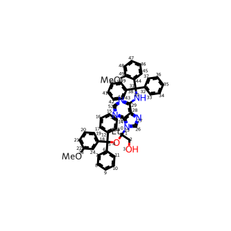 CCC(CO)(OC(c1ccccc1)(c1ccccc1)c1cccc(OC)c1)n1cnc2c(NC(c3ccccc3)(c3ccccc3)c3ccccc3OC)ncnc21